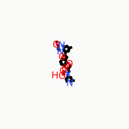 COc1cnc2c(-c3cc4c5c(ccc4o3)OC(CN(C(=O)O)c3ccnc(C)c3)CO5)cc(C)cc2n1